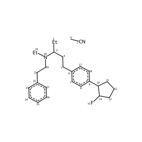 CC#N.CCC(CCc1ccc(C2CCCC2F)cc1)N(CC)CCc1ccccc1